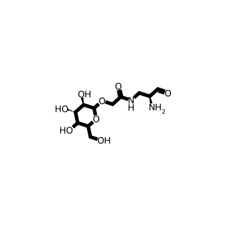 N[C@H](C=O)CNC(=O)COC1OC(CO)C(O)[C@H](O)[C@H]1O